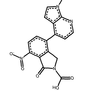 Cn1ccc2c(-c3ccc([N+](=O)[O-])c4c3CN(C(=O)O)C4=O)ccnc21